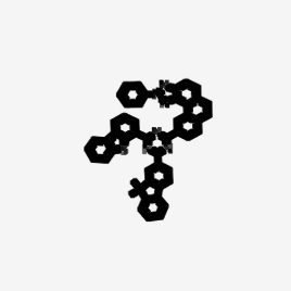 CC1(C)c2ccccc2-c2ccc(-c3nc(-c4ccc5ccc6ccc7nn(-c8ccccc8)nc7c6c5c4)nc(-c4cccc5c4sc4ccccc45)n3)cc21